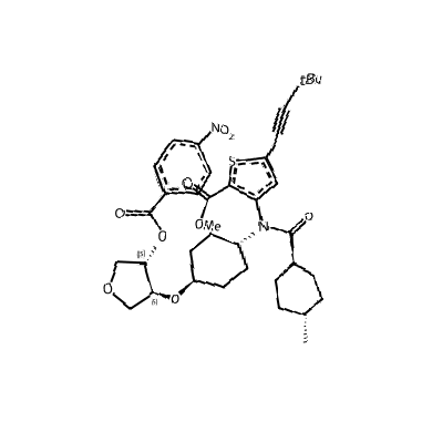 COC(=O)c1sc(C#CC(C)(C)C)cc1N(C(=O)[C@H]1CC[C@H](C)CC1)[C@H]1CC[C@H](O[C@H]2COC[C@@H]2OC(=O)c2ccc([N+](=O)[O-])cc2)CC1